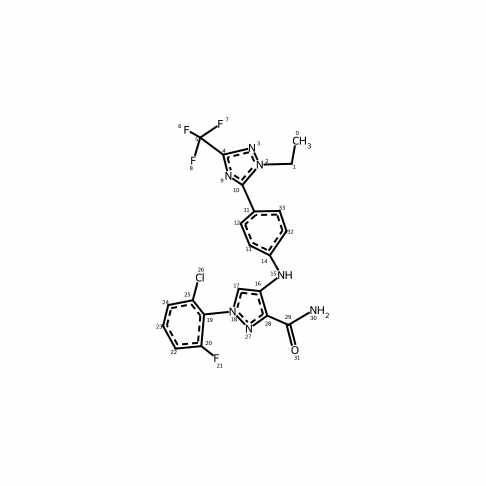 CCn1nc(C(F)(F)F)nc1-c1ccc(Nc2cn(-c3c(F)cccc3Cl)nc2C(N)=O)cc1